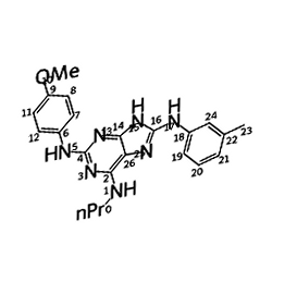 CCCNc1nc(Nc2ccc(OC)cc2)nc2[nH]c(Nc3cccc(C)c3)nc12